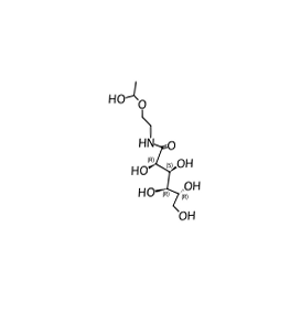 CC(O)OCCNC(=O)[C@H](O)[C@@H](O)[C@H](O)[C@H](O)CO